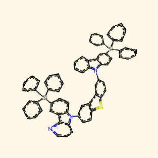 c1ccc([Si](c2ccccc2)(c2ccccc2)c2ccc3c(c2)c2ccccc2n3-c2ccc3sc4ccc(-n5c6ccc([Si](c7ccccc7)(c7ccccc7)c7ccccc7)cc6c6ncccc65)cc4c3c2)cc1